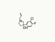 C=CCN1CCC(O)(c2ccc(F)c(Cl)c2)C1